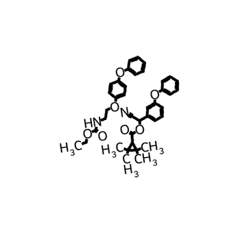 CC1(C)C(C(=O)OC(C#N)c2cccc(Oc3ccccc3)c2)C1(C)C.CCOC(=O)NCCOc1ccc(Oc2ccccc2)cc1